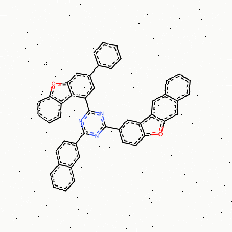 c1ccc(-c2cc(-c3nc(-c4ccc5ccccc5c4)nc(-c4ccc5oc6cc7ccccc7cc6c5c4)n3)c3c(c2)oc2ccccc23)cc1